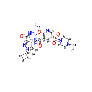 CCOc1ncc(S(=O)(=O)N2CCN(CC)CC2)cc1C(=O)Nc1c(C(N)=O)nn(C2CCC2)c1CC